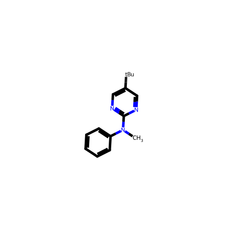 CN(c1ccccc1)c1ncc(C(C)(C)C)cn1